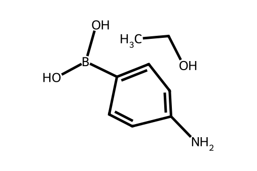 CCO.Nc1ccc(B(O)O)cc1